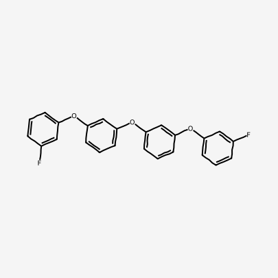 Fc1cccc(Oc2cccc(Oc3cccc(Oc4cccc(F)c4)c3)c2)c1